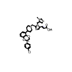 Cn1cncc1Cn1c(/C=C/C(=O)O)cnc1CN1CCC(c2cccc3c2OC[C@@H](c2ccc(Cl)cc2)O3)CC1